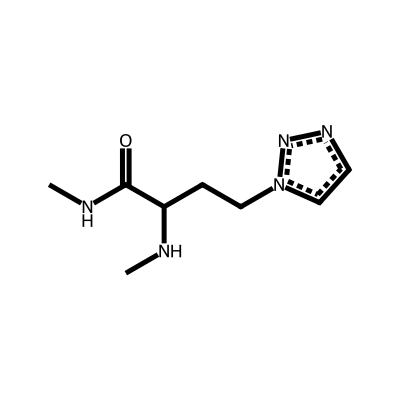 CNC(=O)C(CCn1ccnn1)NC